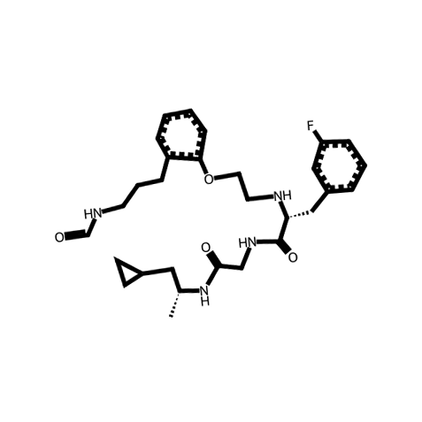 C[C@H](CC1CC1)NC(=O)CNC(=O)[C@@H](Cc1cccc(F)c1)NCCOc1ccccc1CCCNC=O